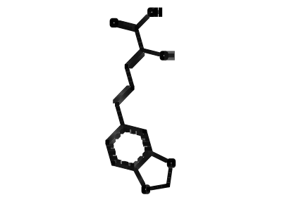 O=C(O)C(O)=CC=Cc1ccc2c(c1)OCO2